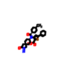 C[C@H]1CC[C@H](C(=O)N(c2cc(C3=CCCCC3)sc2C(=O)O)[C@H]2CC[C@@]3(CC2)CNC(=O)C3)CC1